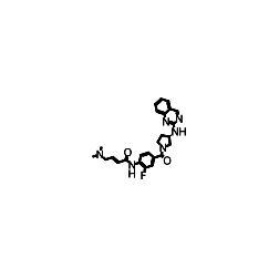 CN(C)C/C=C/C(=O)Nc1ccc(C(=O)N2CC[C@H](Nc3ncc4ccccc4n3)C2)cc1F